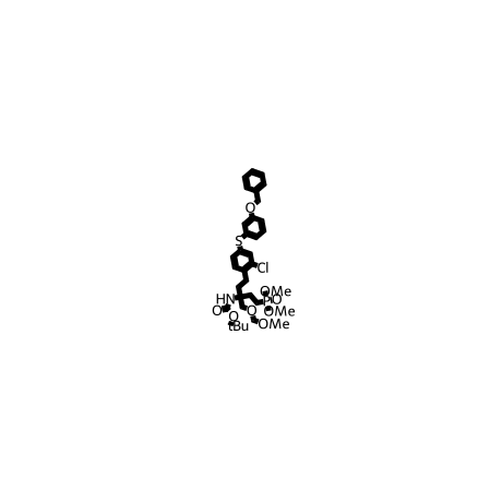 COCOCC(CCc1ccc(Sc2cccc(OCc3ccccc3)c2)cc1Cl)(CCP(=O)(OC)OC)NC(=O)OC(C)(C)C